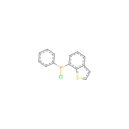 ClP(c1ccccc1)c1cccc2ccsc12